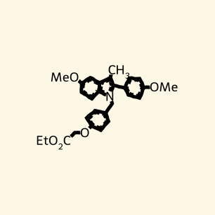 CCOC(=O)COc1ccc(Cn2c(-c3ccc(OC)cc3)c(C)c3cc(OC)ccc32)cc1